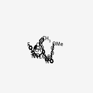 CCOC(=O)[C@H]1Cc2cc(ccc2OCc2ccnc(-c3ccccc3OCCOCCOCCOC)n2)OC[C@@H](CN2CCN(C)CC2)Oc2ccc(c(C)c2Cl)-c2c(-c3ccc(F)cc3)sc3ncnc(c23)O1